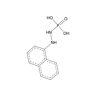 O=P(O)(O)NNc1cccc2ccccc12